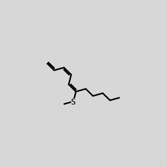 C=C/C=C\C=C(/CCCCC)SC